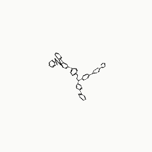 c1ccc(-c2ccc(-c3ccc(C(CCc4ccc(-c5ccc6c(c5)c5ccccc5n6-c5ccccc5)cc4)c4ccc(-c5ccccc5)cc4)cc3)cc2)cc1